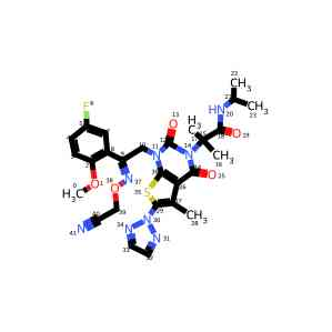 COc1ccc(F)cc1/C(Cn1c(=O)n(C(C)(C)C(=O)NC(C)C)c(=O)c2c(C)c(-n3nccn3)sc21)=N\OCC#N